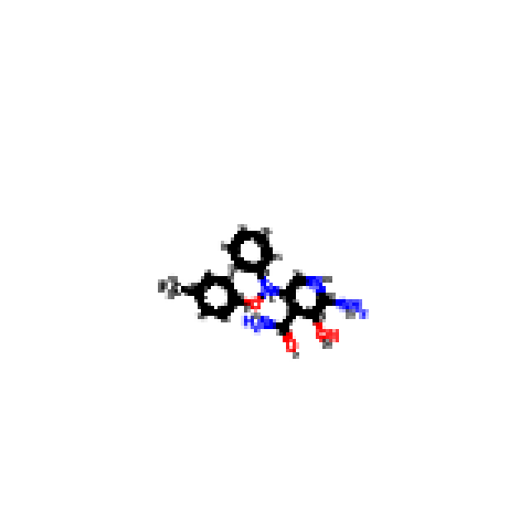 NC(=O)c1c(N(Oc2ccc(C(F)(F)F)cc2)c2ccccc2)cnc(N)c1O